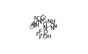 Cn1cc(NC(=O)c2ccc3cnc(N4CC5CCC(C4)N5)nn23)c(C#N)n1.O=C(O)C(F)(F)F